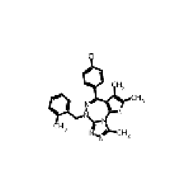 Cc1ccccc1CN1N=C(c2ccc(Cl)cc2)c2c(sc(C)c2C)-n2c(C)nnc21